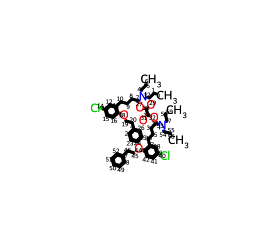 CCCN(CCC)C(CCCc1cc(Cl)ccc1OCCc1ccccc1)OC(=O)C(=O)OC(CCCc1cc(Cl)ccc1OCCc1ccccc1)N(CCC)CCC